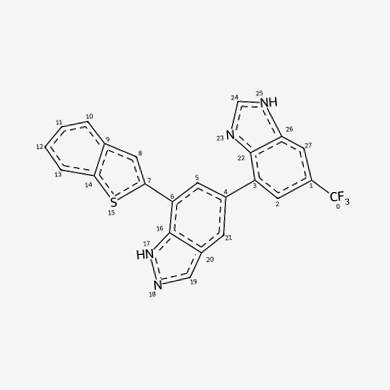 FC(F)(F)c1cc(-c2cc(-c3cc4ccccc4s3)c3[nH]ncc3c2)c2nc[nH]c2c1